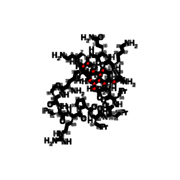 CC(C)C[C@H](NC(=O)[C@H](CCCCN)NC(=O)[C@H](CCC(N)=O)NC(=O)[C@H](CCCCN)NC(=O)[C@H](CC(C)C)NC(=O)[C@H](CC(C)C)NC(=O)[C@H](CCC(N)=O)NC(=O)[C@H](CC(C)C)NC(=O)[C@H](CC(C)C)NC(=O)[C@H](CC(C)C)NC(=O)[C@@H]1CCCN1C(=O)[C@H](CCCNC(=N)N)NC(=O)[C@H](CC(C)C)NC(=O)[C@H](CC(C)C)NC(=O)[C@@H](N)CCCNC(=N)N)C(=O)N[C@@H](CCCNC(=N)N)C(=O)O